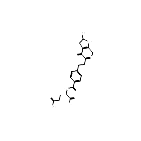 NC1CC2=C(CN=C(CCc3ccc(C(=O)N[C@@H](CCC(=O)O)C(=O)O)cc3)C2=O)N1